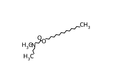 CCCCCCCCCCCCCCCOC(=O)CCN(C)CCCC